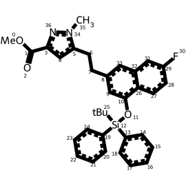 COC(=O)c1cc(CCc2cc(O[Si](c3ccccc3)(c3ccccc3)C(C)(C)C)c3ccc(F)cc3c2)n(C)n1